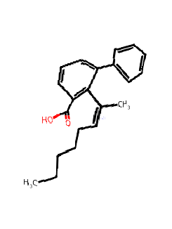 CCCCC/C=C(/C)c1c(C(=O)O)cccc1-c1ccccc1